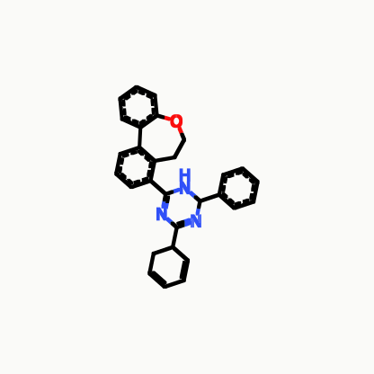 C1=CCC(C2=NC(c3ccccc3)NC(c3cccc4c3CCOc3ccccc3-4)=N2)C=C1